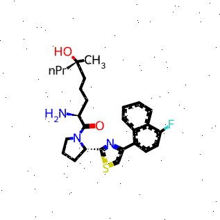 CCC[C@](C)(O)CCC[C@H](N)C(=O)N1CCC[C@H]1c1nc(-c2ccc(F)c3ccccc23)cs1